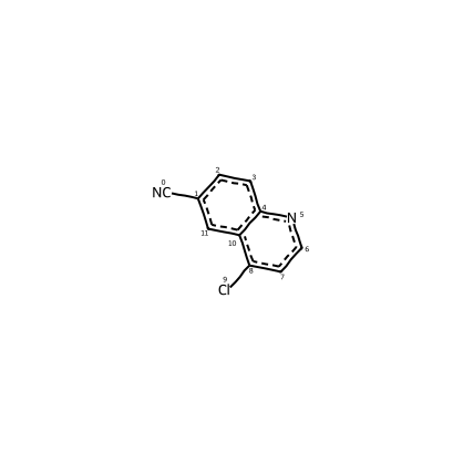 N#Cc1ccc2nccc(Cl)c2c1